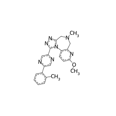 COc1ccc2c(n1)CN(C)Cc1nnc(-c3cnc(-c4ccccc4C)cn3)n1-2